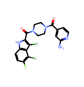 Nc1cc(C(=O)N2CCN(C(=O)c3[nH]c4ccc(F)c(Cl)c4c3Cl)CC2)ccn1